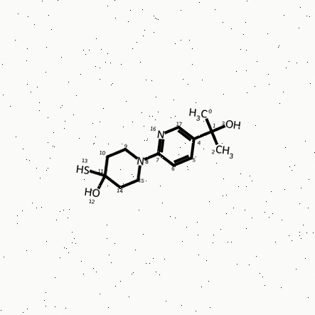 CC(C)(O)c1ccc(N2CCC(O)(S)CC2)nc1